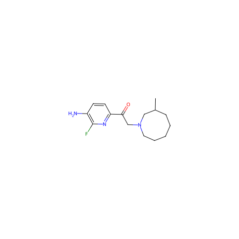 CC1CCCCCN(CC(=O)c2ccc(N)c(F)n2)C1